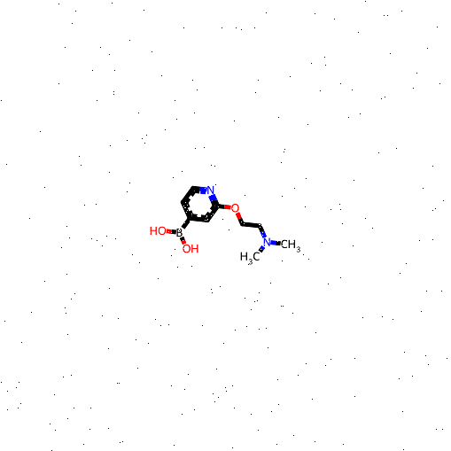 CN(C)CCOc1cc(B(O)O)ccn1